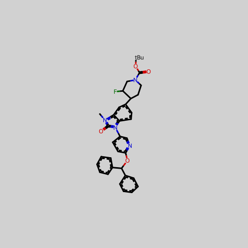 Cn1c(=O)n(-c2ccc(OC(c3ccccc3)c3ccccc3)nc2)c2ccc(C3CCN(C(=O)OC(C)(C)C)CC3F)cc21